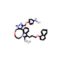 Cn1nc(COc2ccc(NS)cc2)c2c1COCCCCn1c(C(=O)O)c(CCCOc3cccc4ccccc34)c3cccc-2c31